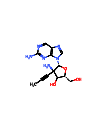 CC#C[C@@]1(N)C(O)[C@@H](CO)O[C@H]1n1cnc2cnc(N)nc21